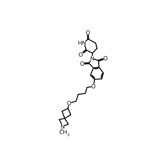 CN1CC2(CC(OCCCCOc3ccc4c(c3)C(=O)N(C3CCC(=O)NC3=O)C4=O)C2)C1